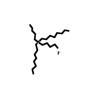 CCCCCCCC[P+](CCCCC)(CCCCC)CCCCCCCC.[I-]